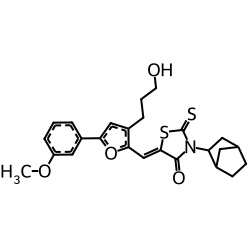 COc1cccc(-c2cc(CCCO)c(/C=C3\SC(=S)N(C4CC5CCC4C5)C3=O)o2)c1